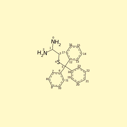 NC(N)CSC(c1ccccc1)(c1ccccc1)c1ccccc1